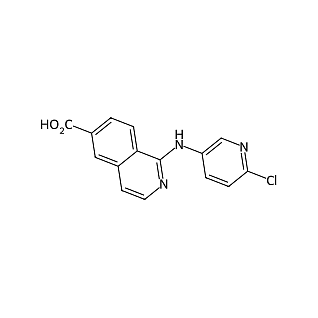 O=C(O)c1ccc2c(Nc3ccc(Cl)nc3)nccc2c1